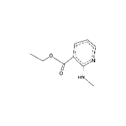 CCOC(=O)c1cccnc1NC